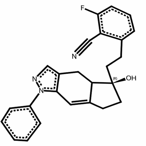 N#Cc1c(F)cccc1CC[C@]1(O)CCC2=Cc3c(cnn3-c3ccccc3)CC21